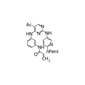 C=CC(=O)Nc1cccc(Nc2nc(Nc3ccc(CCCCC)nc3)ncc2C(C)=O)c1